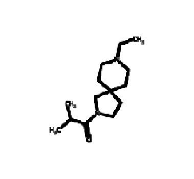 CCN1CCC2(CC1)CCN(C(=O)C(C)C)C2